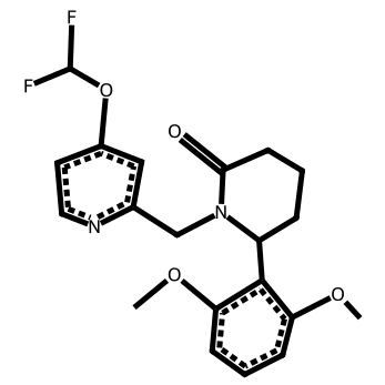 COc1cccc(OC)c1C1CCCC(=O)N1Cc1cc(OC(F)F)ccn1